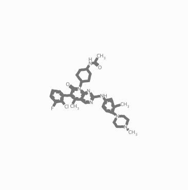 CC(=O)NC1CCC(n2c(=O)c(-c3cccc(F)c3Cl)c(C)c3cnc(Nc4ccc(N5CCN(C)CC5)c(C)c4)nc32)CC1